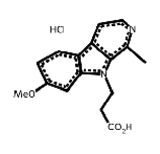 COc1ccc2c3ccnc(C)c3n(CCC(=O)O)c2c1.Cl